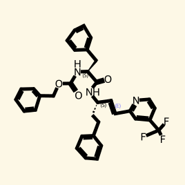 O=C(N[C@@H](Cc1ccccc1)C(=O)N[C@H](/C=C/c1cc(C(F)(F)F)ccn1)CCc1ccccc1)OCc1ccccc1